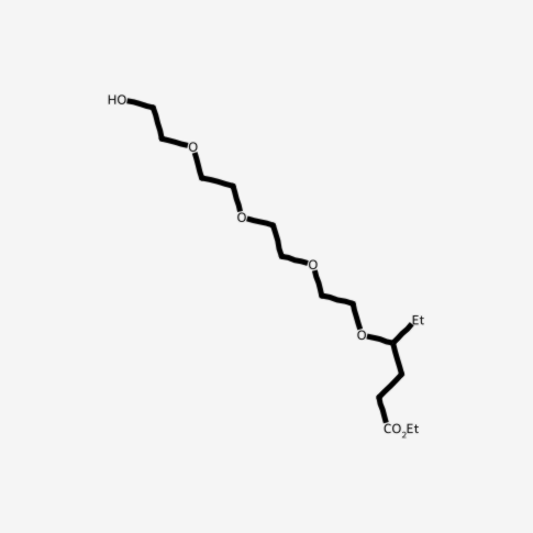 CCOC(=O)CCC(CC)OCCOCCOCCOCCO